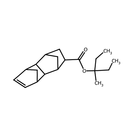 CCC(C)(CC)OC(=O)C1CC2CC1C1C3C=CC(C3)C21